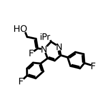 CC(C)C1N=C(c2ccc(F)cc2)C=C(c2ccc(F)cc2)N1/C(F)=C/CO